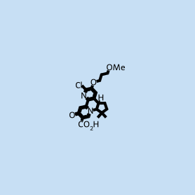 COCCCOc1cc2c(nc1Cl)-c1cc(=O)c(C(=O)O)cn1C1[C@H]2CCC1(C)C